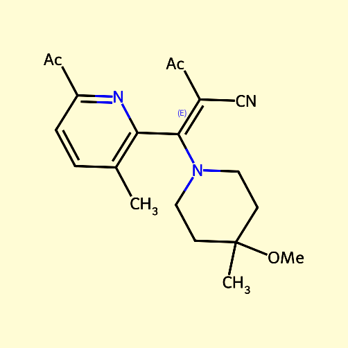 COC1(C)CCN(/C(=C(\C#N)C(C)=O)c2nc(C(C)=O)ccc2C)CC1